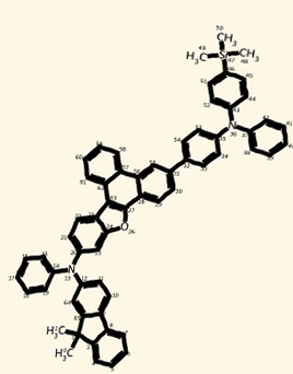 CC1(C)c2ccccc2-c2ccc(N(c3ccccc3)c3ccc4c(c3)oc3c5ccc(-c6ccc(N(c7ccccc7)c7ccc([Si](C)(C)C)cc7)cc6)cc5c5ccccc5c43)cc21